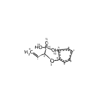 C=CC(Oc1ccccc1)P(=O)(O)O